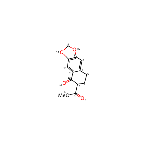 COC(=O)C1CCc2cc3c(cc2C1=O)OCO3